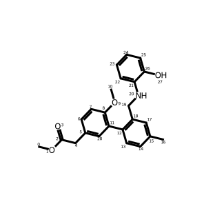 COC(=O)Cc1ccc(OC)c(-c2ccc(C)cc2CNc2ccccc2O)c1